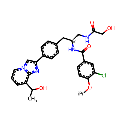 CC(C)Oc1ccc(C(=O)N[C@H](CNC(=O)CO)Cc2ccc(-c3cn4cccc(C(C)O)c4n3)cc2)cc1Cl